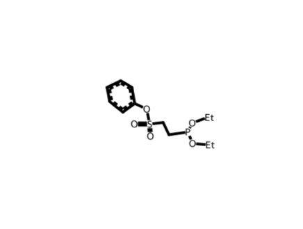 CCOP(CCS(=O)(=O)Oc1ccccc1)OCC